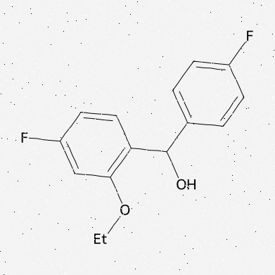 CCOc1cc(F)ccc1C(O)c1ccc(F)cc1